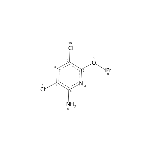 CC(C)Oc1nc(N)c(Cl)cc1Cl